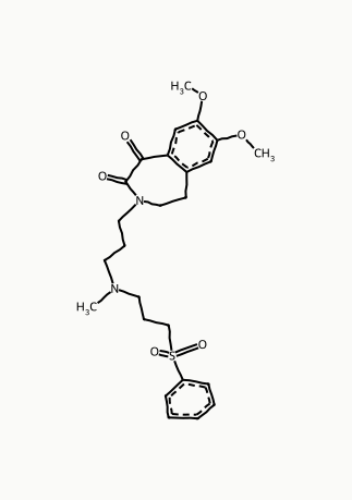 COc1cc2c(cc1OC)C(=O)C(=O)N(CCCN(C)CCCS(=O)(=O)c1ccccc1)CC2